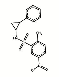 Cc1ccc([N+](=O)[O-])cc1S(=O)(=O)NC1CC1c1ccccc1